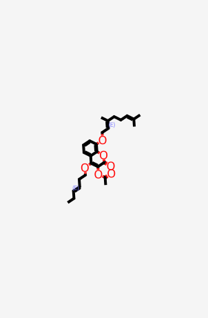 CC/C=C/CCOc1c(OC(C)=O)c(=O)oc2c(OC/C=C(\C)CCC=C(C)C)cccc12